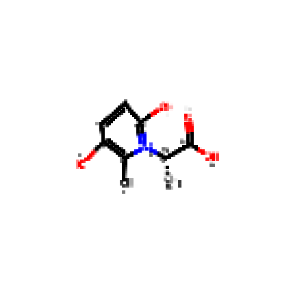 Cc1c(O)ccc(O)[n+]1[C@@H](C)C(=O)O